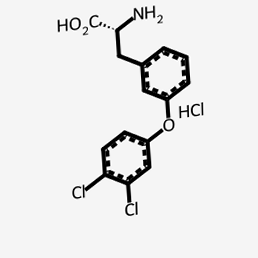 Cl.N[C@H](Cc1cccc(Oc2ccc(Cl)c(Cl)c2)c1)C(=O)O